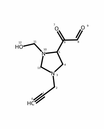 C#CCN1CC(C(=O)C=O)N(CO)C1